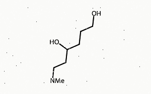 CNCCC(O)CCCO